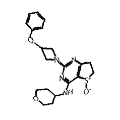 [O-][S+]1CCc2nc(N3CC(Oc4ccccc4)C3)nc(NC3CCOCC3)c21